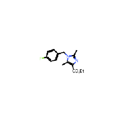 CCOC(=O)c1nc(C)n(Cc2ccc(F)cc2)c1C